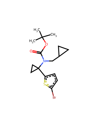 CC(C)(C)OC(=O)N(CC1CC1)C1(c2ccc(Br)s2)CC1